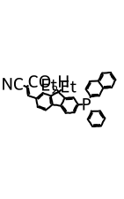 CCC1(CC)c2cc(C=C(C#N)C(=O)O)ccc2-c2ccc(P(c3ccccc3)c3ccc4ccccc4c3)cc21